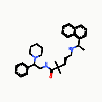 C[C@@H](NC/C=C/C(C)(C)C(=O)NCC(c1ccccc1)N1CCCCC1)c1cccc2ccccc12